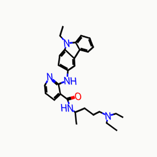 CCN(CC)CCCC(C)NC(=O)c1cccnc1Nc1ccc2c(c1)c1ccccc1n2CC